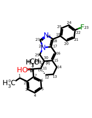 CCc1ccccc1[C@@](C)(O)[C@H]1CCCC2=Cc3c(-c4ccc(F)cc4)ncn3C[C@@]21C